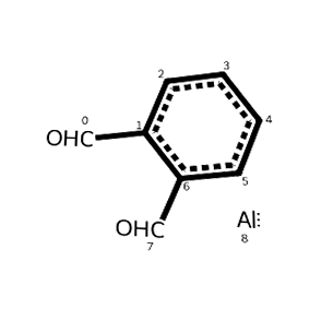 O=Cc1ccccc1C=O.[Al]